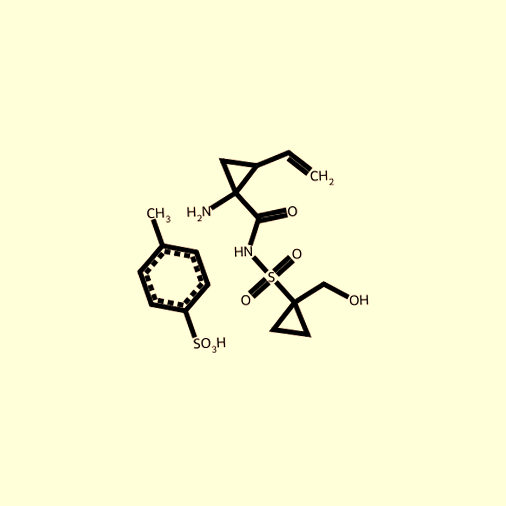 C=CC1CC1(N)C(=O)NS(=O)(=O)C1(CO)CC1.Cc1ccc(S(=O)(=O)O)cc1